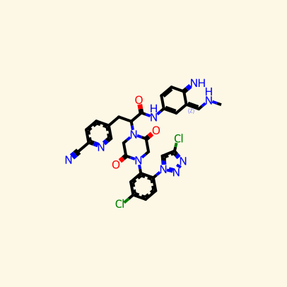 CN/C=C1/C=C(NC(=O)C(Cc2ccc(C#N)nc2)N2CC(=O)N(c3cc(Cl)ccc3-n3cc(Cl)nn3)CC2=O)C=CC1=N